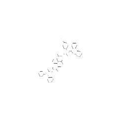 C=C1c2ccc3c4c(ccc(c24)OC1CC(=C)N(c1ccccc1)c1ccccc1)C(=C)C(CC(=C)N(c1ccc([Si](C)(C)C)cc1)c1cc2ccccc2c2ccccc12)O3